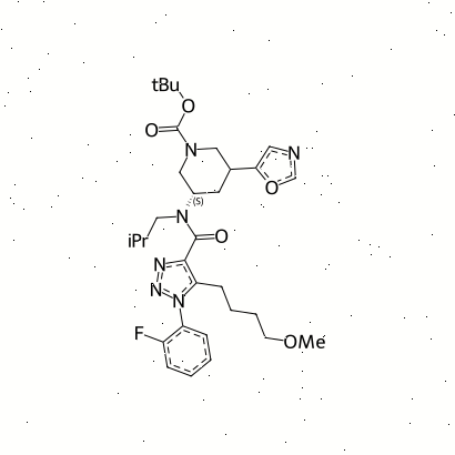 COCCCCc1c(C(=O)N(CC(C)C)[C@H]2CC(c3cnco3)CN(C(=O)OC(C)(C)C)C2)nnn1-c1ccccc1F